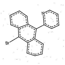 Brc1c2ccccc2c(-c2ccccn2)c2ccccc12